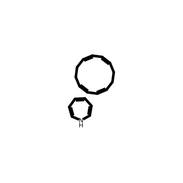 C1=CC=CNC=C1.C1=CCCC=CC=CCCC=C1